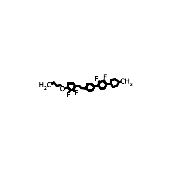 C=CCCOc1ccc(CCc2ccc(-c3ccc(C4CCC(C)CC4)c(F)c3F)cc2)c(F)c1F